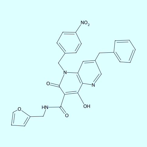 O=C(NCc1ccco1)c1c(O)c2ncc(Cc3ccccc3)cc2n(Cc2ccc([N+](=O)[O-])cc2)c1=O